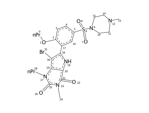 CCCOc1ccc(S(=O)(=O)N2CCN(C)CC2)cc1-c1[nH]c2c(=O)n(C)c(=O)n(CCC)c2c1Br